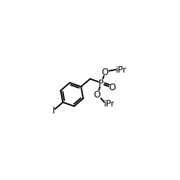 CC(C)OP(=O)(Cc1ccc(I)cc1)OC(C)C